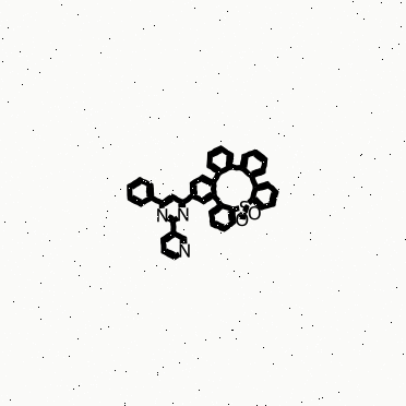 O=S1(=O)c2ccccc2-c2ccccc2-c2ccccc2-c2ccc(-c3cc(-c4ccccc4)nc(-c4cccnc4)n3)cc2-c2ccccc21